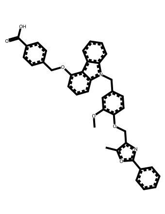 COc1cc(Cn2c3ccccc3c3c(OCc4ccc(C(=O)O)cc4)cccc32)ccc1OCc1nc(-c2ccccc2)oc1C